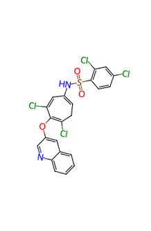 O=S(=O)(NC1=CCC(Cl)=C(Oc2cnc3ccccc3c2)C(Cl)=C1)c1ccc(Cl)cc1Cl